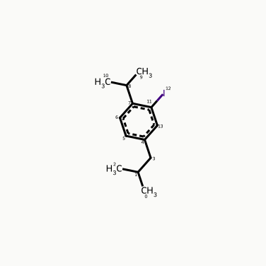 CC(C)Cc1ccc(C(C)C)c(I)c1